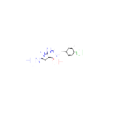 Nc1cc2c(O)n(CCc3ccc(Cl)cc3)cnc-2n1